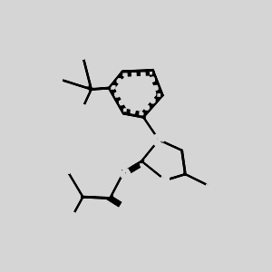 O=C(N=C1SC(Cl)CN1c1cccc(C(F)(F)F)c1)C(F)Cl